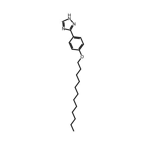 CCCCCCCCCCCCOc1ccc(-c2n[c][nH]n2)cc1